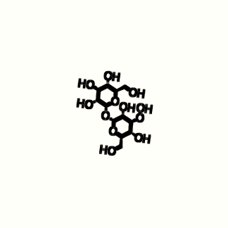 OC[C@H]1O[C@H](O[C@H]2O[C@H](CO)[C@@H](O)[C@H](OO)[C@H]2O)[C@H](O)[C@@H](O)[C@@H]1O